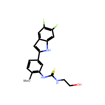 COc1ccc(-c2cc3cc(F)c(F)cc3[nH]2)cc1NC(=S)NCCO